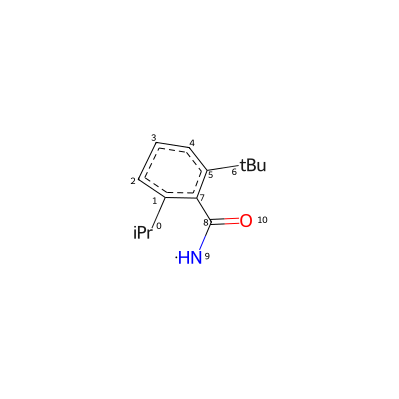 CC(C)c1cccc(C(C)(C)C)c1C([NH])=O